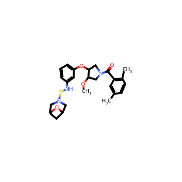 COC1CN(C(=O)c2cc(C)ccc2C)CC1Oc1cccc(NSN2CC3CC(C2)O3)c1